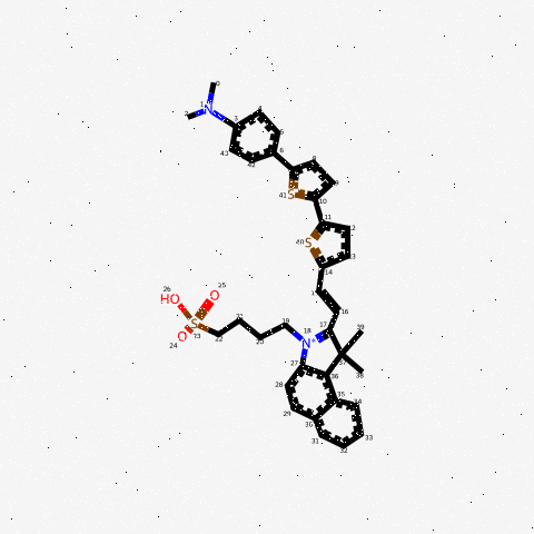 CN(C)c1ccc(-c2ccc(-c3ccc(/C=C/C4=[N+](CCCCS(=O)(=O)O)c5ccc6ccccc6c5C4(C)C)s3)s2)cc1